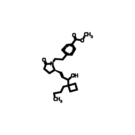 CCCCC1(C(O)/C=C/[C@H]2CCC(=O)N2CCc2ccc(C(=O)OC)cc2)CCC1